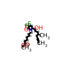 CC#CC[C@H](C)CC=C(O)C1CC(F)(F)C(=O)N1CCCCCCC(=O)OC